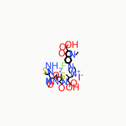 CCn1cc(C(=O)O)c(=O)c2cc(F)c(N3CC[N+](C)(CC4=C(C(=O)O)N5C(=O)[C@@H](NC(=O)/C(=N\OC)c6csc(N)n6)[C@H]5SC4)CC3)cc21.[I-]